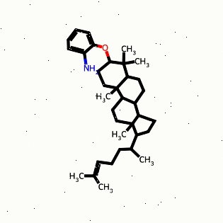 CC(C)=CCCC(C)C1CCC2C3CCC4C(C)(C)C(Oc5ccccc5N)CCC4(C)C3CCC12C